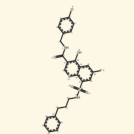 O=C(NCc1ccc(Cl)cc1)c1cnc2c(S(=O)(=O)NCCCc3ccccc3)cc(F)cc2c1O